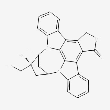 C[C@]12CC(C[C@]1(O)CO)n1c3ccccc3c3c4c(c5c6ccccc6n2c5c31)CNC4=O